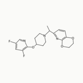 CC(c1ccc2c(n1)OCCO2)N1CCC(Oc2ncc(F)cc2F)CC1